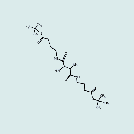 CC(C)(C)OC(=O)CCCNC(=O)C(N)C(N)C(=O)NCCCC(=O)OC(C)(C)C